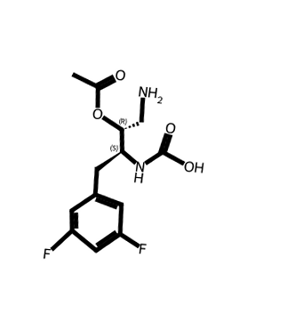 CC(=O)O[C@H](CN)[C@H](Cc1cc(F)cc(F)c1)NC(=O)O